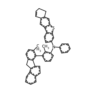 Cc1ccc2c(c1-c1cccc(N(c3ccccc3)c3ccc4c(c3)sc3cc5c(cc34)C=CCC5)c1C)-c1ccc3ccccc3c1C2